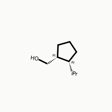 CC(C)[C@H]1CCC[C@H]1CO